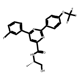 C[C@@H](CO)NC(=O)c1cc(-c2cccc(F)c2)nc(-c2ccc(OC(F)(F)F)cc2)n1